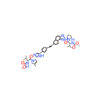 COC(=O)N[C@H](C(=O)N1CC(C)=C[C@H]1c1ncc(-c2ccc(C#Cc3ccc4c(ccc5nc([C@@H]6CCCN6C(=O)[C@@H](NC(=O)OC)C(C)C)[nH]c54)c3)cc2)[nH]1)C(C)C